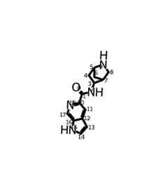 O=C(NC1CC2CC1CN2)c1cc2cc[nH]c2cn1